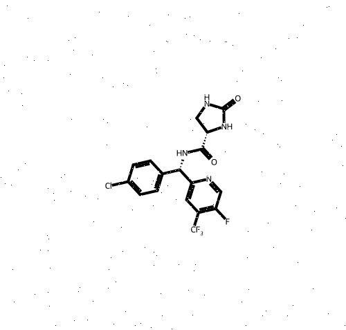 O=C1NC[C@@H](C(=O)N[C@@H](c2ccc(Cl)cc2)c2cc(C(F)(F)F)c(F)cn2)N1